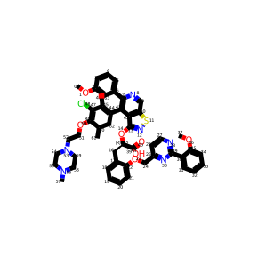 COc1cccc(-c2ncc3snc(O[C@H](Cc4ccccc4OCc4ccnc(-c5ccccc5OC)n4)C(=O)O)c3c2C2=C(C)C(Cl)=C(OCCN3CCN(C)CC3)C(C)C2)c1